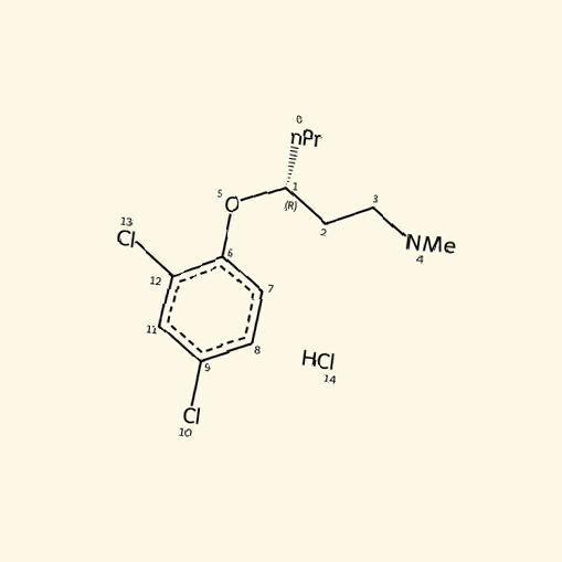 CCC[C@H](CCNC)Oc1ccc(Cl)cc1Cl.Cl